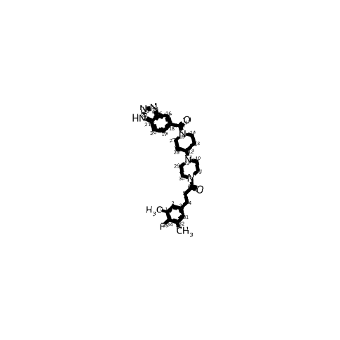 Cc1cc(CCC(=O)N2CCN(C3CCN(C(=O)c4ccc5[nH]nnc5c4)CC3)CC2)cc(C)c1F